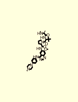 CN[C@@H](C)C(=O)N[C@H](C(=O)N1CCCC1C(=O)Nc1cc2c(Nc3ccc(N4CCN(C)CC4)cc3)ncnc2cc1OC)C(C)(C)C